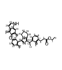 CCOC(=O)CCc1cccc(C(C)c2nc(-c3cc(Oc4c(F)cc5[nH]ccc5c4F)ccc3F)n3c2CCCC3)c1F